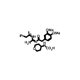 COc1ccc(CC(=O)N=C(N)N[C@H](C)CC(C)C)cc1OC.O=C(O)NC1CCOCC1